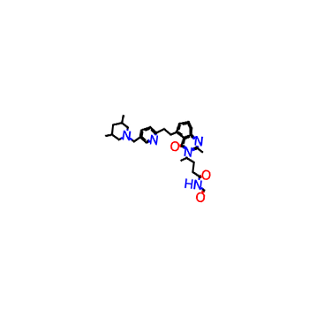 Cc1nc2cccc(CCc3ccc(CN4CC(C)CC(C)C4)cn3)c2c(=O)n1C(C)CCC(=O)NC=O